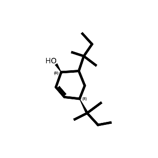 CCC(C)(C)C1C[C@@H](C(C)(C)CC)C=C[C@H]1O